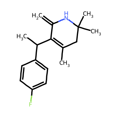 C=C1NC(C)(C)CC(C)=C1C(C)c1ccc(F)cc1